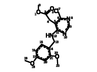 COC(=O)Cc1c(Cl)ncnc1NCc1ccc(OC)cc1OC